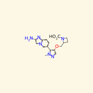 Cn1ncc(OCC2CCN2C(=O)O)c1-c1ccc2nc(N)cn2c1